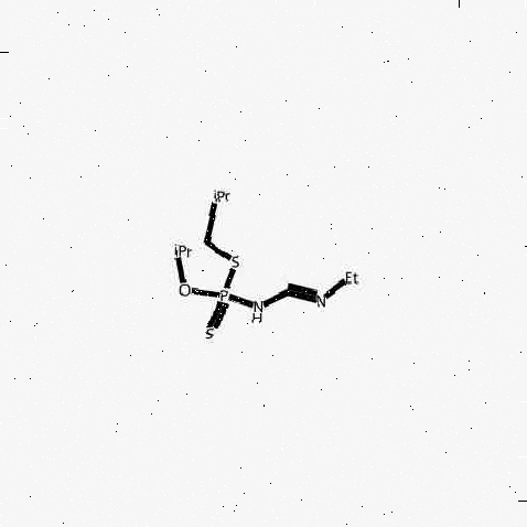 CCN=CNP(=S)(OC(C)C)SCC(C)C